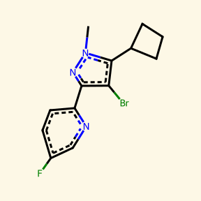 Cn1nc(-c2ccc(F)cn2)c(Br)c1C1CCC1